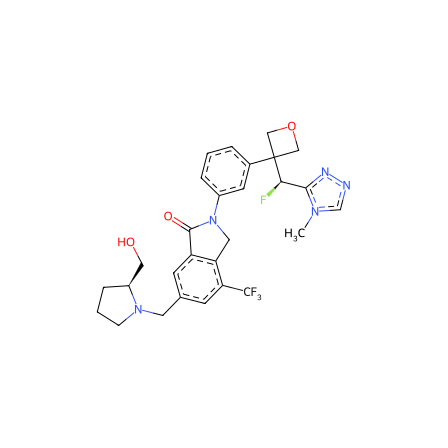 Cn1cnnc1[C@@H](F)C1(c2cccc(N3Cc4c(cc(CN5CCC[C@H]5CO)cc4C(F)(F)F)C3=O)c2)COC1